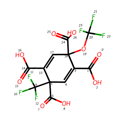 O=C(O)C1=CC(C(=O)O)(C(F)(F)F)C(C(=O)O)=CC1(OC(F)(F)F)C(=O)O